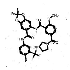 COc1ccc(C(=O)N2CC[C@@H](O)C2)cc1C(=O)Nc1cc2c(cc1C(=O)Nc1ccc(F)c(C(F)(F)F)c1)OC(F)(F)O2